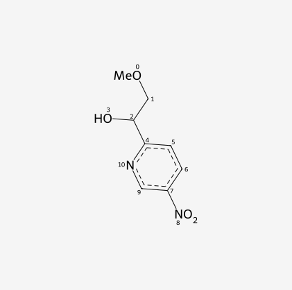 COCC(O)c1ccc([N+](=O)[O-])cn1